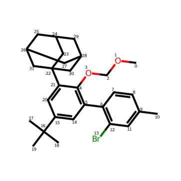 COCOc1c(-c2ccc(C)cc2Br)cc(C(C)(C)C)cc1C12CC3CC(CC(C3)C1)C2